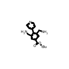 CC(C)(C)OC(=O)c1cc(CN)c(-c2ccncc2)c(CN)c1